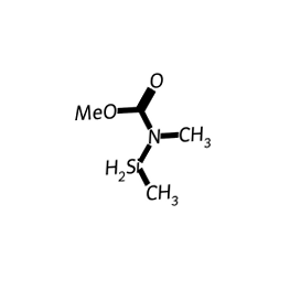 COC(=O)N(C)[SiH2]C